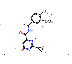 COc1cc(C(C)NC(=O)c2cc(=O)[nH]c(C3CC3)n2)ccc1C(F)(F)F